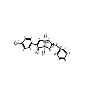 O=C1C(c2ccc(Cl)cc2)=C[C@H]2CN(Cc3ccccc3)C[C@@H]12